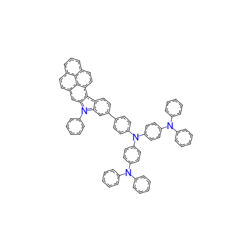 c1ccc(N(c2ccccc2)c2ccc(N(c3ccc(-c4ccc5c6c7ccc8cccc9ccc(cc6n(-c6ccccc6)c5c4)c7c98)cc3)c3ccc(N(c4ccccc4)c4ccccc4)cc3)cc2)cc1